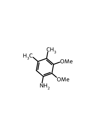 COc1c(N)cc(C)c(C)c1OC